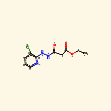 CCOC(=O)CC(=O)NNc1ncccc1Cl